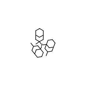 CC1CC2CCCC(P(C3(C)CC4CCCC(C4)C3)C34CCCC(CC(C)C3)C4)(C1)C2